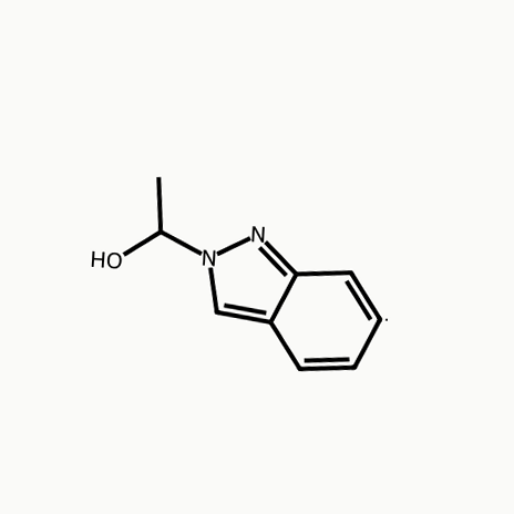 CC(O)n1cc2cc[c]cc2n1